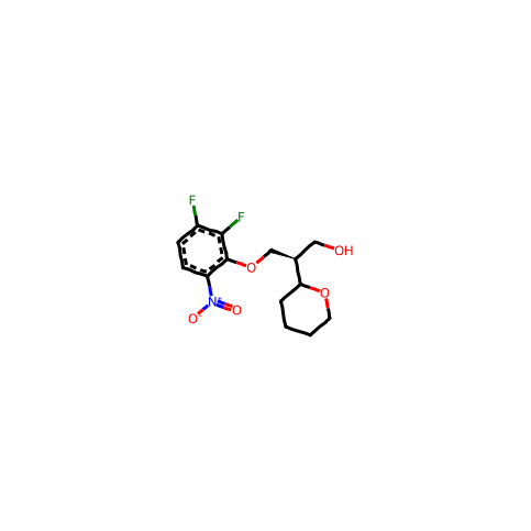 O=[N+]([O-])c1ccc(F)c(F)c1OC[C@@H](CO)C1CCCCO1